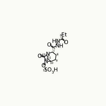 CCC(=O)NNC(=O)[C@@H]1CCC2CN1C(=O)N2OS(=O)(=O)O